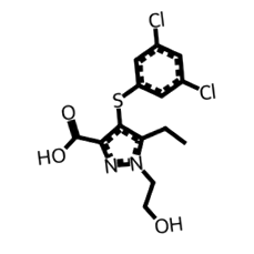 CCc1c(Sc2cc(Cl)cc(Cl)c2)c(C(=O)O)nn1CCO